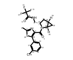 Cc1nc(C(=O)N2[C@H](CNC(=O)C(F)(F)F)C[C@@H]3C[C@@H]32)c(-c2cccc(Cl)c2)s1